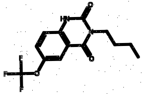 CCCCn1c(=O)[nH]c2ccc(OC(F)(F)F)cc2c1=O